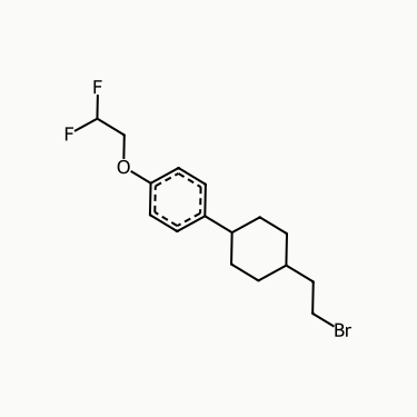 FC(F)COc1ccc(C2CCC(CCBr)CC2)cc1